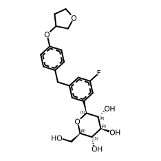 OC[C@H]1O[C@@H](c2cc(F)cc(Cc3ccc(OC4CCOC4)cc3)c2)[C@H](O)[C@@H](O)[C@@H]1O